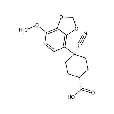 COc1ccc([C@]2(C#N)CC[C@@H](C(=O)O)CC2)c2c1OCO2